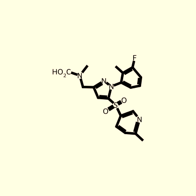 Cc1ccc(S(=O)(=O)c2cc(CN(C)C(=O)O)nn2-c2cccc(F)c2C)cn1